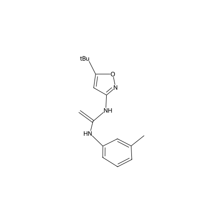 C=C(Nc1cccc(C)c1)Nc1cc(C(C)(C)C)on1